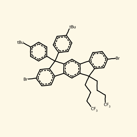 CC(C)(C)c1ccc(C2(c3ccc(C(C)(C)C)cc3)c3cc(Br)ccc3-c3cc4c(cc32)-c2ccc(Br)cc2C4(CCCC(F)(F)F)CCCC(F)(F)F)cc1